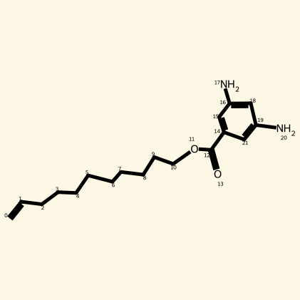 C=CCCCCCCCCCOC(=O)c1cc(N)cc(N)c1